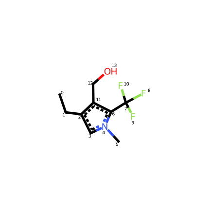 CCc1cn(C)c(C(F)(F)F)c1CO